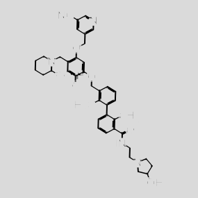 Cc1c(COc2cc(OCc3cncc(C#N)c3)c(CN3CCCCC3C(=O)O)cc2Cl)cccc1-c1cccc(C(=O)NCCN2CCC(O)C2)c1C